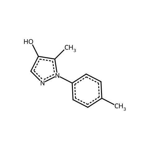 Cc1ccc(-n2ncc(O)c2C)cc1